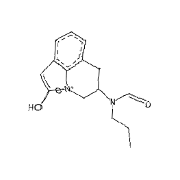 CCCN(C=O)C1Cc2cccc3c2[N+]([O-])(C1)C(O)=C3